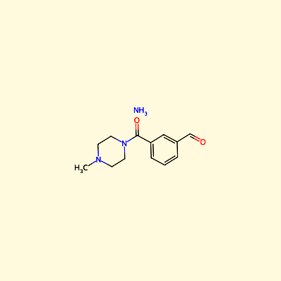 CN1CCN(C(=O)c2cccc(C=O)c2)CC1.N